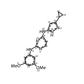 COc1cc(Nc2nccc(Nc3cc(C4CC4)n[nH]3)n2)cc(OC)c1